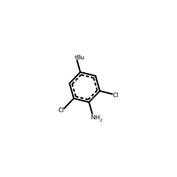 CC(C)(C)c1cc(Cl)c(N)c(Cl)c1